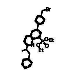 CCOP(=O)(OCC)c1cc(-c2ccc(CBr)cc2)cc2ccc(C(C)Cc3ccccc3)nc12